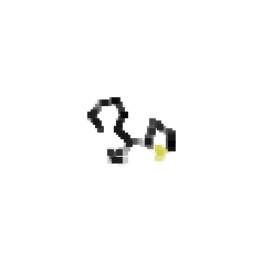 N#CC(c1cccs1)C1CCCCC1